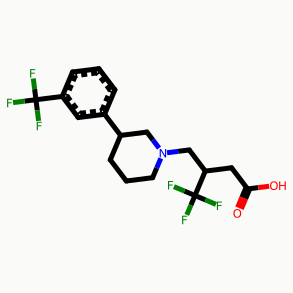 O=C(O)CC(CN1CCCC(c2cccc(C(F)(F)F)c2)C1)C(F)(F)F